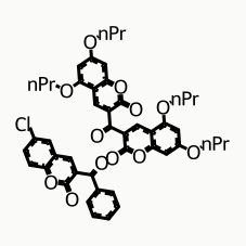 CCCOc1cc(OCCC)c2cc(C(=O)c3cc4c(OCCC)cc(OCCC)cc4oc3=O)c(=O)oc2c1.O=C(c1ccccc1)c1cc2cc(Cl)ccc2oc1=O